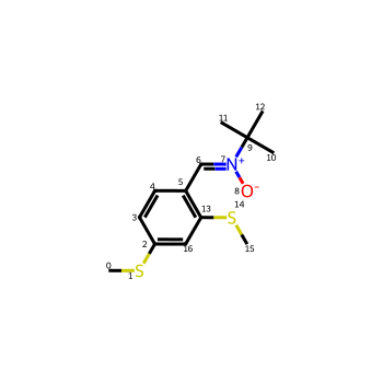 CSc1ccc(C=[N+]([O-])C(C)(C)C)c(SC)c1